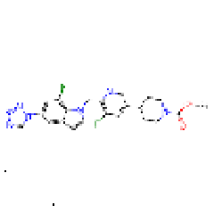 CC(C)OC(=O)N1CCC(c2cnc(Cn3ccc4cc(-n5cnnn5)cc(F)c43)c(F)c2)CC1